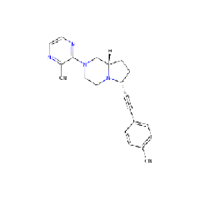 N#Cc1ccc(C#C[C@H]2CC[C@H]3CN(c4nccnc4C#N)CCN32)cc1